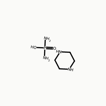 C1CNCCN1.NP(N)(=O)O